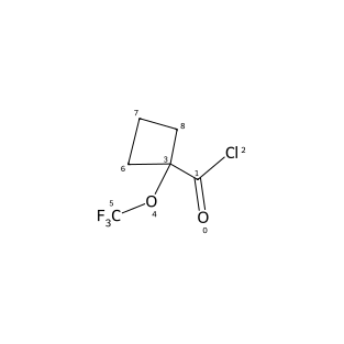 O=C(Cl)C1(OC(F)(F)F)CCC1